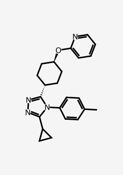 Cc1ccc(-n2c(C3CC3)nnc2[C@H]2CC[C@H](Oc3ccccn3)CC2)cc1